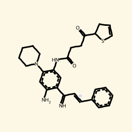 N=C(/C=C/c1ccccc1)c1cc(NC(=O)CCC(=O)C2CC=CS2)c(N2CCCCC2)cc1N